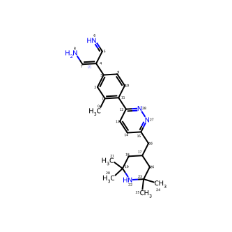 Cc1cc(/C(C=N)=C/N)ccc1-c1ccc(CC2CC(C)(C)NC(C)(C)C2)nn1